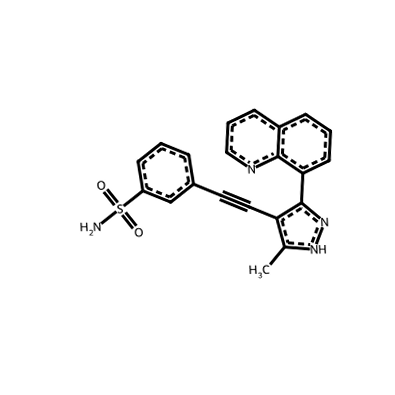 Cc1[nH]nc(-c2cccc3cccnc23)c1C#Cc1cccc(S(N)(=O)=O)c1